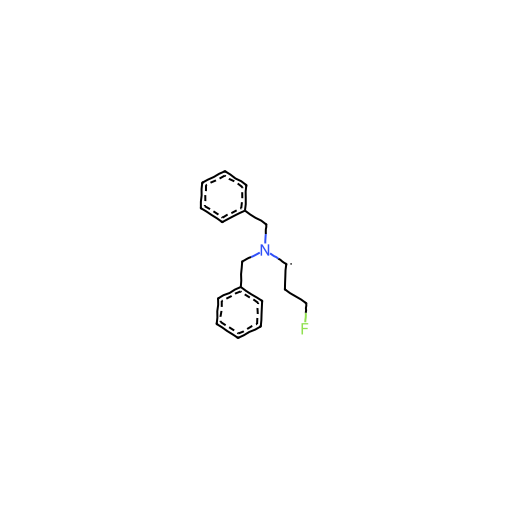 FCC[CH]N(Cc1ccccc1)Cc1ccccc1